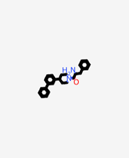 NC(Cc1ccccc1)C(=O)N1CCC(c2cccc(-c3ccccc3)c2)CC1